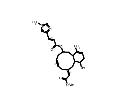 COC(=O)/C=C1\C/C=C\CC(OC(=O)/C=C/c2cn(C)cn2)CC2C(C)=CCC(C(C)C)C2C1